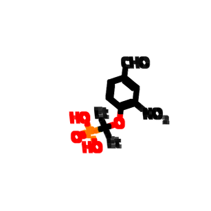 CCC(CC)(Oc1ccc(C=O)cc1[N+](=O)[O-])P(=O)(O)O